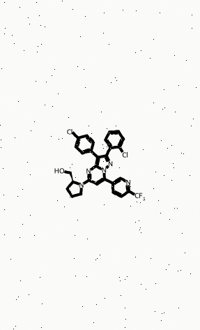 OC[C@@H]1CCCN1c1cc(-c2ccc(C(F)(F)F)nc2)n2nc(-c3ccccc3Cl)c(-c3ccc(Cl)cc3)c2n1